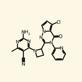 Cc1nc(N)nc(N2CCC2c2nn3ccc(Cl)c3c(=O)n2-c2ccccn2)c1C#N